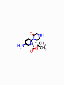 CC(C)(C)OC=O.Nc1ccc(N2CCNCC2=O)nc1